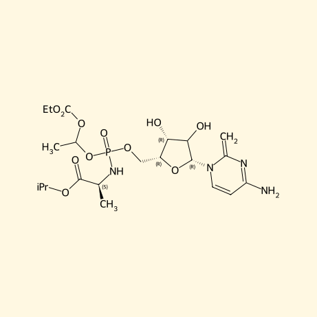 C=C1N=C(N)C=CN1[C@@H]1O[C@H](COP(=O)(N[C@@H](C)C(=O)OC(C)C)OC(C)OC(=O)OCC)[C@H](O)C1O